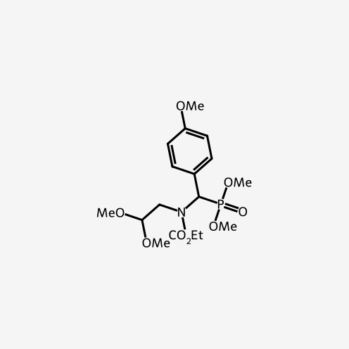 CCOC(=O)N(CC(OC)OC)C(c1ccc(OC)cc1)P(=O)(OC)OC